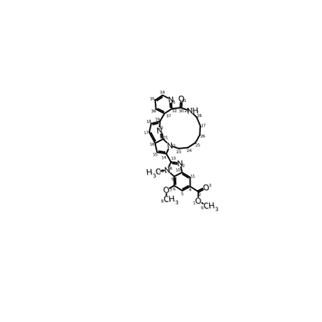 COC(=O)c1cc(OC)c2c(c1)nc(-c1cc3ccc4nc3n1CCCCCCNC(=O)c1ncccc1-4)n2C